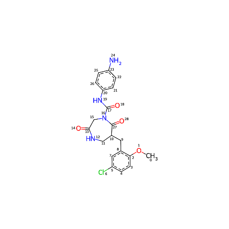 COc1ccc(Cl)cc1CC1CNC(=O)CN(C(=O)Nc2ccc(N)cc2)C1=O